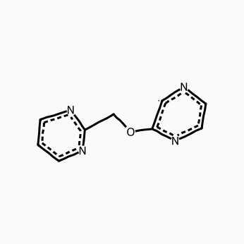 [c]1nccnc1OCc1ncccn1